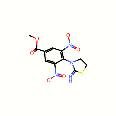 COC(=O)c1cc([N+](=O)[O-])c(N2CCSC2=N)c([N+](=O)[O-])c1